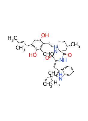 C=CC(C)(C)c1[nH]c2ccccc2c1/C=C1\NC(=O)C2(CC(C)C=CC2/C=C/c2c(O)cc(CC=C(C)C)c(O)c2C=O)NC1=O